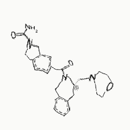 NC(=O)N1Cc2ccc(C(=O)N3Cc4ccccc4C[C@H]3CN3CCOCC3)cc2C1